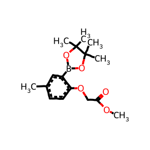 COC(=O)COc1ccc(C)cc1B1OC(C)(C)C(C)(C)O1